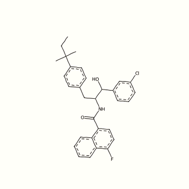 CCC(C)(C)c1ccc(CC(NC(=O)c2ccc(F)c3ccccc23)C(O)c2cccc(Cl)c2)cc1